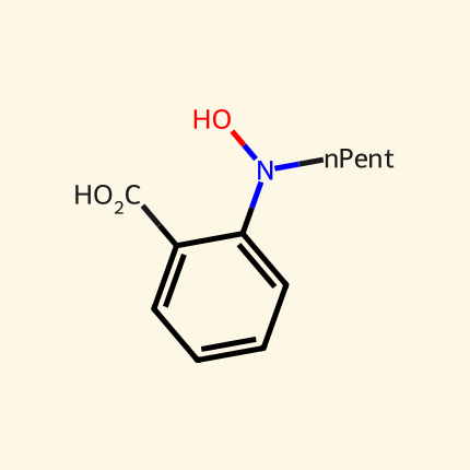 CCCCCN(O)c1ccccc1C(=O)O